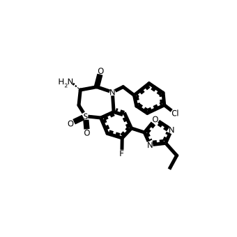 CCc1noc(-c2cc3c(cc2F)S(=O)(=O)C[C@H](N)C(=O)N3Cc2ccc(Cl)cc2)n1